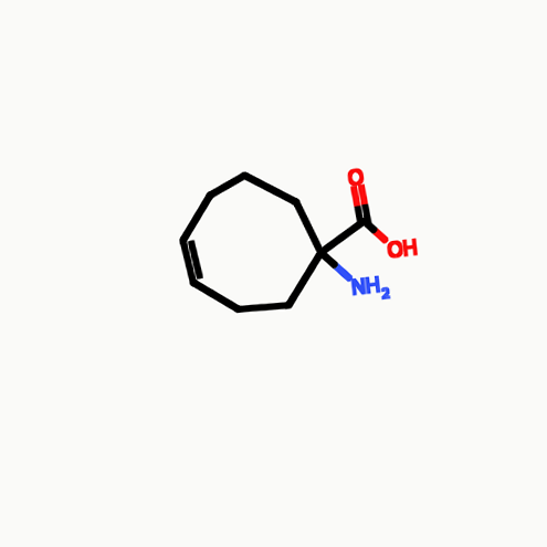 NC1(C(=O)O)CC/C=C\CCC1